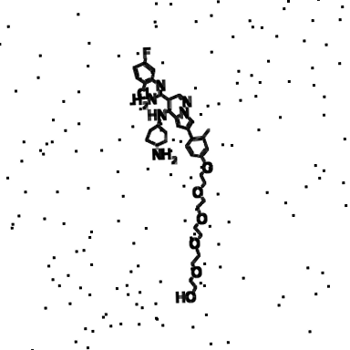 Cc1cc(OCCOCCOCCOCCOCCO)ccc1-c1cc2c(N[C@H]3CC[C@H](N)CC3)c(/C(N)=N/c3cc(F)ccc3Cl)cnn2c1